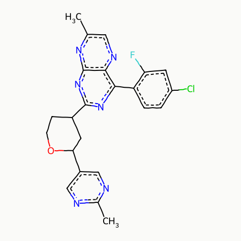 Cc1cnc2c(-c3ccc(Cl)cc3F)nc(C3CCOC(c4cnc(C)nc4)C3)nc2n1